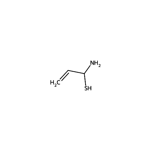 C=CC(N)S